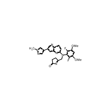 COc1cc(OC)c(F)c(N(CC2=NC(=O)CC2)c2ccc3ncc(-c4cnn(C)c4)cc3n2)c1F